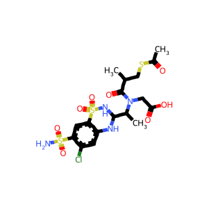 CC(=O)SCC(C)C(=O)N(CC(=O)O)C(C)C1Nc2cc(Cl)c(S(N)(=O)=O)cc2S(=O)(=O)N1